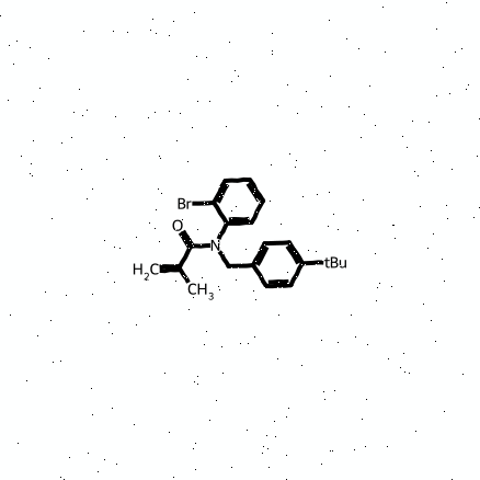 C=C(C)C(=O)N(Cc1ccc(C(C)(C)C)cc1)c1ccccc1Br